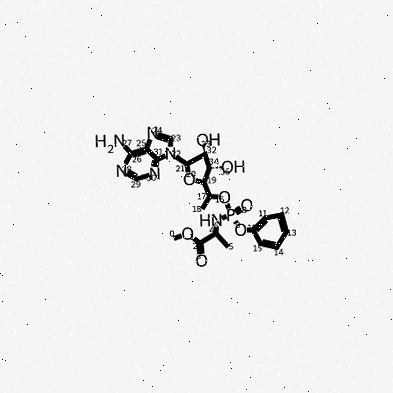 COC(=O)C(C)NP(=O)(Oc1ccccc1)OC(C)C1OC(n2cnc3c(N)ncnc32)[C@H](O)[C@@H]1O